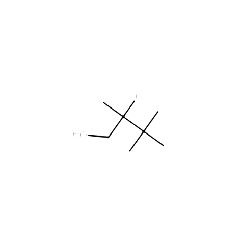 CC(C)(C)C(C)(F)CO